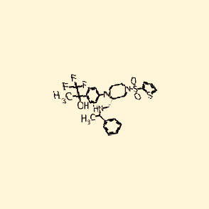 CC(NC[C@H]1CN(S(=O)(=O)c2cccs2)CCN1c1ccc(C(C)(O)C(F)(F)F)cc1)c1ccccc1